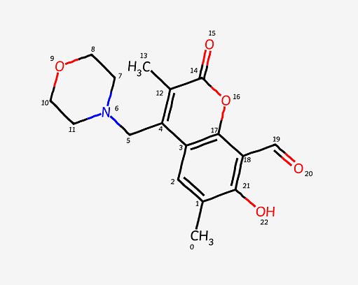 Cc1cc2c(CN3CCOCC3)c(C)c(=O)oc2c(C=O)c1O